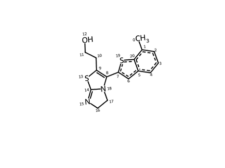 Cc1cccc2cc(C3=C(CCO)SC4=NCCN43)sc12